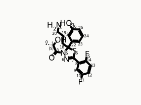 C[C@H](O)C(=O)N1N=C(c2cc(F)ccc2F)SC1(CCCN)c1cccc(O)c1